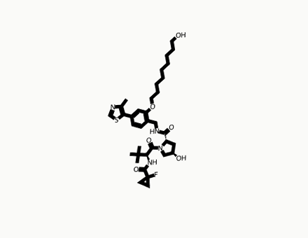 Cc1ncsc1-c1ccc(CNC(=O)[C@@H]2C[C@@H](O)CN2C(=O)[C@@H](NC(=O)C2(F)CC2)C(C)(C)C)c(OCCCCCCCCCO)c1